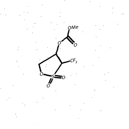 COC(=O)OC1COS(=O)(=O)C1C(F)(F)F